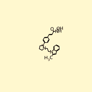 Cc1cc2ccccc2n1CCN1CCC[C@H]1c1ccc(C=CC(=O)NO)cc1